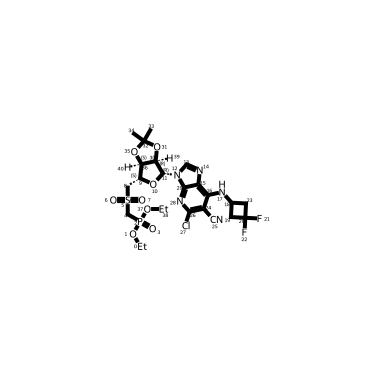 CCOP(=O)(CS(=O)(=O)C[C@H]1O[C@@H](n2cnc3c(NC4CC(F)(F)C4)c(C#N)c(Cl)nc32)[C@@H]2OC(C)(C)O[C@@H]21)OCC